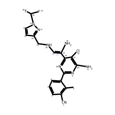 Cc1c(C#N)cccc1-c1nc(N)c(Cl)c(/C(N)=C/NCc2ccn(C(F)F)n2)n1